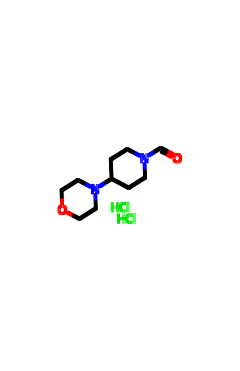 Cl.Cl.O=CN1CCC(N2CCOCC2)CC1